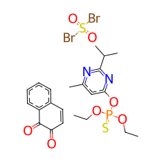 CCOP(=S)(OCC)Oc1cc(C)nc(C(C)C)n1.O=C1C=Cc2ccccc2C1=O.O=S(=O)(Br)Br